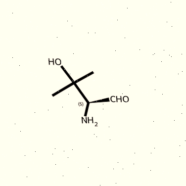 CC(C)(O)[C@H](N)C=O